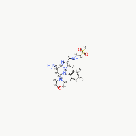 Cc1cccc(Cc2c(CNCCS(C)(=O)=O)nc3c(N)cc(N4CCOCC4)nn23)c1C